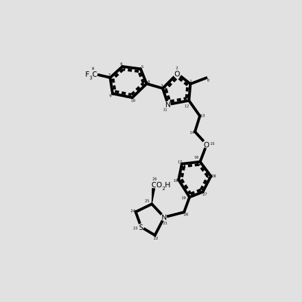 Cc1oc(-c2ccc(C(F)(F)F)cc2)nc1CCOc1ccc(CN2CSC[C@H]2C(=O)O)cc1